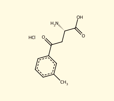 Cc1cccc(C(=O)C[C@H](N)C(=O)O)c1.Cl